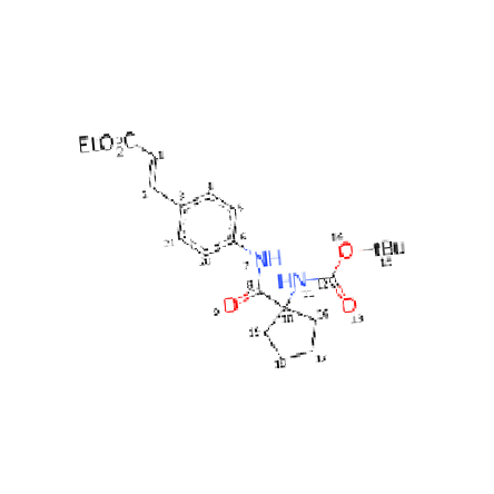 CCOC(=O)/C=C/c1ccc(NC(=O)C2(NC(=O)OC(C)(C)C)CCCC2)cc1